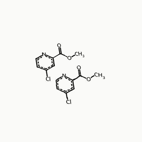 COC(=O)c1cc(Cl)ccn1.COC(=O)c1cc(Cl)ccn1